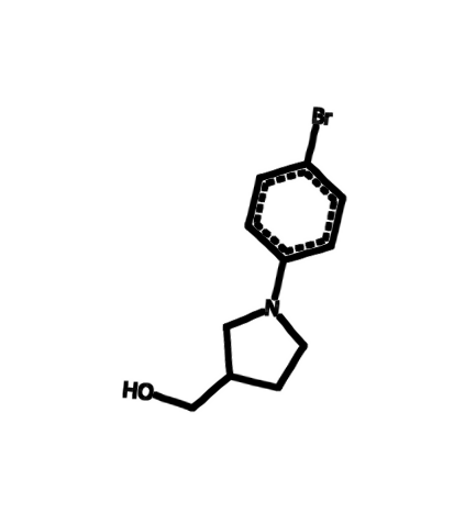 OCC1CCN(c2ccc(Br)cc2)C1